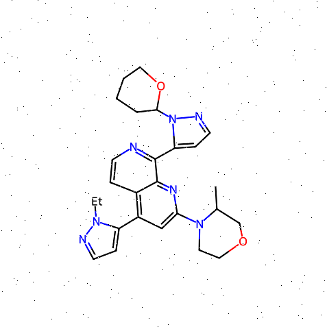 CCn1nccc1-c1cc(N2CCOCC2C)nc2c(-c3ccnn3C3CCCCO3)nccc12